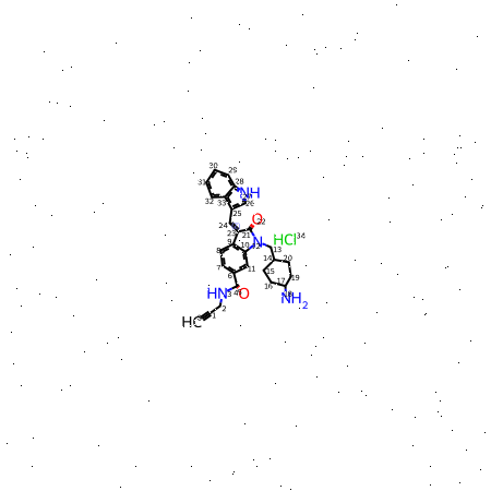 C#CCNC(=O)c1ccc2c(c1)N(CC1CCC(N)CC1)C(=O)/C2=C\c1c[nH]c2ccccc12.Cl